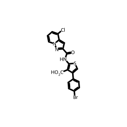 O=C(Nc1scc(-c2ccc(Br)cc2)c1C(=O)O)c1cc2c(Cl)cccn2n1